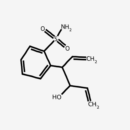 C=CC(O)C(C=C)c1ccccc1S(N)(=O)=O